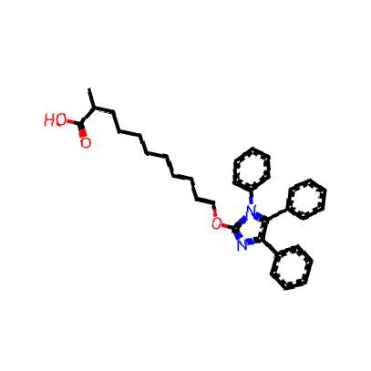 CC(CCCCCCCCCOc1nc(-c2ccccc2)c(-c2ccccc2)n1-c1ccccc1)C(=O)O